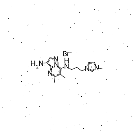 Cc1nc2c(N)cnn2c(NCCC[n+]2ccn(C)c2)c1C.[Br-]